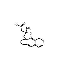 NC1(CC(=O)O)CC23CCCCC2=CN2C=CCCC2=C3O1